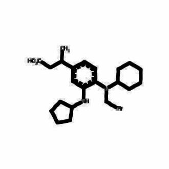 CC(C)CN(c1ccc(C(C)CC(=O)O)cc1NC1CCCC1)C1CCCCC1